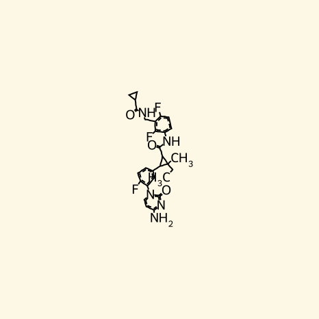 CCC1(C)C(C(=O)Nc2ccc(F)c(CNC(=O)C3CC3)c2F)C1c1ccc(F)c(-n2ccc(N)nc2=O)c1